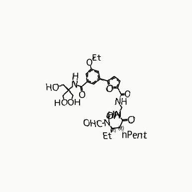 CCCCC[C@@H](C(=O)NCNC(=O)c1ccc(-c2cc(OCC)cc(C(=O)NC(CO)(CO)CO)c2)o1)[C@@H](CC)N(O)C=O